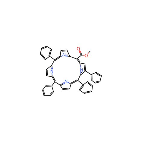 COC(=O)C1=C2C=C(c3ccccc3)C(=N2)C(c2ccccc2)=C2C=CC(=N2)C(c2ccccc2)=C2C=CC(=N2)C(c2ccccc2)=C2C=CC1=N2